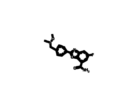 CON(C)Cc1ccc(-c2nc3cc(F)cc(C(N)=O)c3o2)cc1